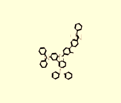 Cc1cc(-n2c3ccc(N(c4ccccc4)c4ccccc4)cc3c3cc(N(c4ccccc4)c4ccccc4)ccc32)ccc1-c1ccc2nc(-c3ccccc3)oc2c1